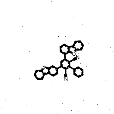 N#Cc1c(-c2ccc3c(c2)sc2ccccc23)cc(-c2cccc3c2oc2ccccc23)c(C#N)c1-c1ccccc1